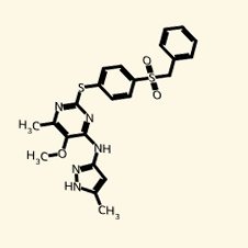 COc1c(C)nc(Sc2ccc(S(=O)(=O)Cc3ccccc3)cc2)nc1Nc1cc(C)[nH]n1